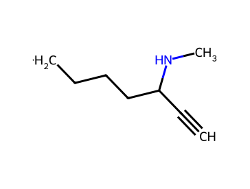 C#CC(CCC[CH2])NC